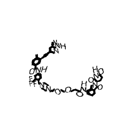 Cc1ccc(C(=O)Nc2ccc(CN3CCN(CCOCCOCCC(=O)Nc4cccc5c4CN(C4CCC(=O)NC4=O)C5=O)CC3)c(C(F)(F)F)c2)cc1C#Cc1cnc2[nH]ncc2c1